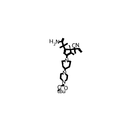 C=CC(C)(C#N)[C@@]1(C)C(C(C)(C)C(=C)N)=CC(N2CCC(N3CCN(C(=O)OC(C)(C)C)CC3)CC2)=C1C